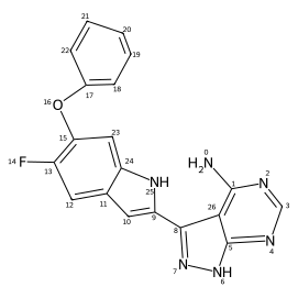 Nc1ncnc2[nH]nc(-c3cc4cc(F)c(Oc5ccccc5)cc4[nH]3)c12